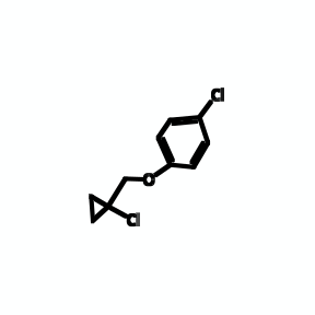 Clc1ccc(OCC2(Cl)CC2)cc1